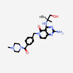 CCCC[C@](C)(CO)Nc1nc(N)nc2ccn(Cc3ccc(C(=O)N4CCN(C)CC4)cc3)c(=O)c12